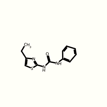 CCc1csc(NC(=O)Nc2ccccc2)n1